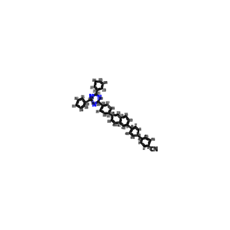 N#Cc1ccc(-c2ccc(-c3ccc4cc(-c5ccc(-c6nc(-c7ccccc7)nc(-c7ccccc7)n6)cc5)ccc4c3)cc2)cc1